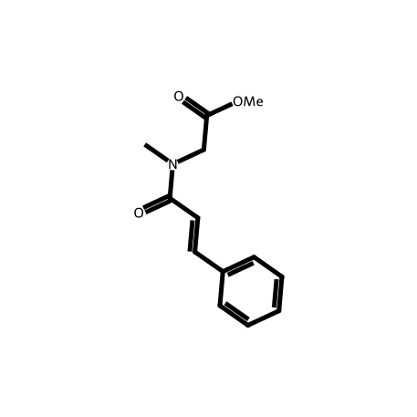 COC(=O)CN(C)C(=O)C=Cc1ccccc1